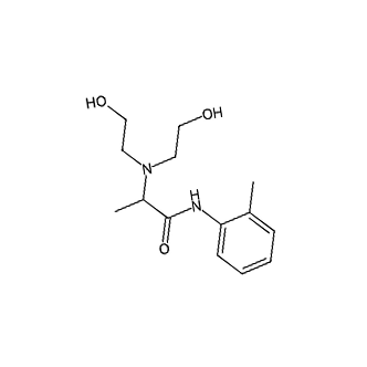 Cc1ccccc1NC(=O)C(C)N(CCO)CCO